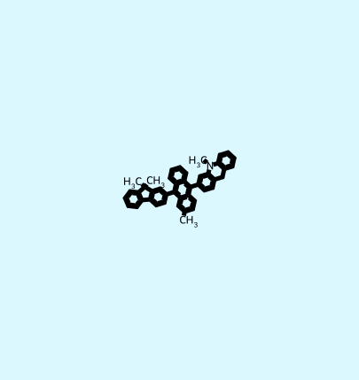 Cc1ccc2c(-c3ccc4c(c3)N(C)c3ccccc3C4)c3ccccc3c(-c3ccc4c(c3)C(C)(C)c3ccccc3-4)c2c1